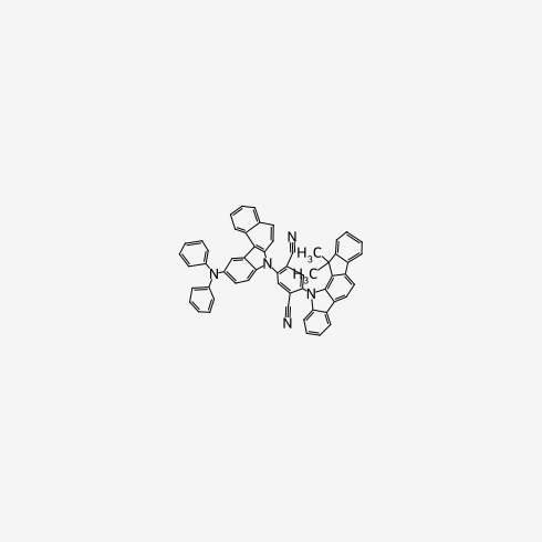 CC1(C)c2ccccc2-c2ccc3c4ccccc4n(-c4cc(C#N)c(-n5c6ccc(N(c7ccccc7)c7ccccc7)cc6c6c7ccccc7ccc65)cc4C#N)c3c21